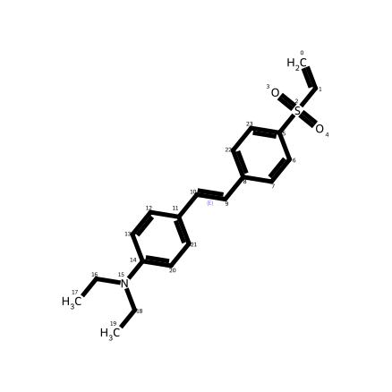 C=CS(=O)(=O)c1ccc(/C=C/c2ccc(N(CC)CC)cc2)cc1